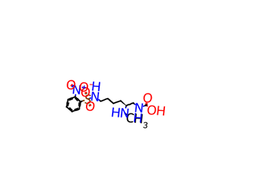 CN[C@@H](CCCCNS(=O)(=O)c1ccccc1[N+](=O)[O-])CNC(=O)O